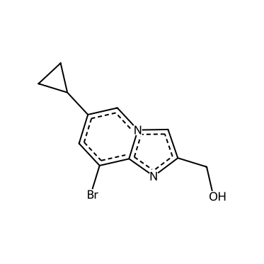 OCc1cn2cc(C3CC3)cc(Br)c2n1